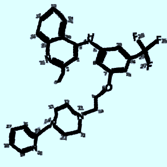 Cc1cc(Nc2cc(OCCN3CCN(c4ccccn4)CC3)cc(C(F)(F)F)c2)c2ccccc2n1